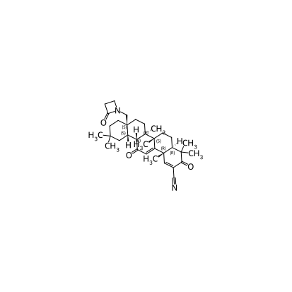 CC1(C)CC[C@]2(CN3CCC3=O)CC[C@]3(C)[C@H](C(=O)C=C4[C@@]5(C)C=C(C#N)C(=O)C(C)(C)[C@@H]5CC[C@]43C)[C@@H]2C1